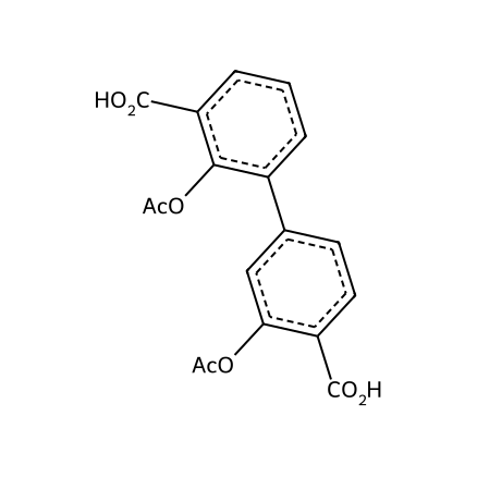 CC(=O)Oc1cc(-c2cccc(C(=O)O)c2OC(C)=O)ccc1C(=O)O